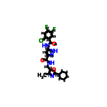 Cc1nc(C2CCCCC2)oc1CNC(=O)c1cc(NC(=O)c2cc(F)c(F)cc2Cl)[nH]n1